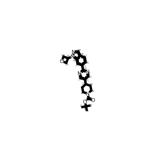 CC(C)(C)OC(=O)N1CCC(c2cnc(-c3ccc4cnn(C5COC5)c4c3)nc2)CC1